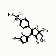 CCC1(C)OC(c2ccc(S(C)(=O)=O)cc2)=C(c2ccc(F)s2)C1=O